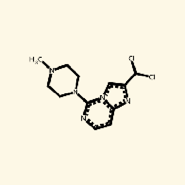 CN1CCN(c2nccc3nc(C(Cl)Cl)cn23)CC1